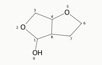 OC1OCC2OCCC12